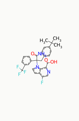 CC(C)(C)c1ccc(CC(C(N)=O)(c2cccc(C(F)(F)F)c2)n2ccc3c(F)cnc(C(=O)O)c32)cc1